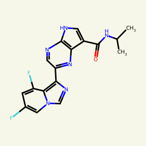 CC(C)NC(=O)c1c[nH]c2ncc(-c3ncn4cc(F)cc(F)c34)nc12